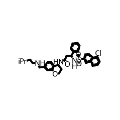 CC(C)CCNCc1ccc2c(c1)OCCC2NC(=O)CC(NS(=O)(=O)c1ccc2c(Cl)cccc2c1)c1ccccc1